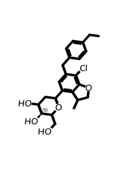 CCc1ccc(Cc2cc(C3CC(O)[C@H](O)C(CO)O3)c3c(c2Cl)OCC3C)cc1